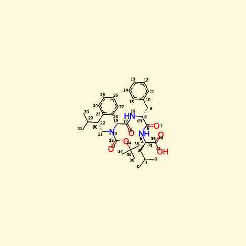 CC(C)C[C@@H](NC(=O)[C@@H](Cc1ccccc1)NC(=O)CN(C[C@@H](c1ccccc1)C(C)C)C(=O)OC(C)(C)C)C(=O)O